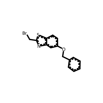 BrCc1nc2cc(OCc3ccccc3)ccc2s1